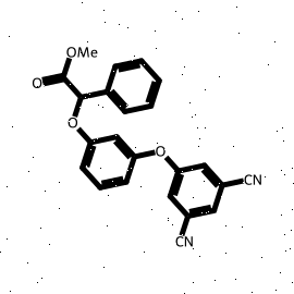 COC(=O)C(Oc1cccc(Oc2cc(C#N)cc(C#N)c2)c1)c1ccccc1